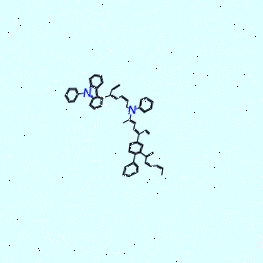 C=C/C(=C\C=C(/C)N(C/C=C\C=C(/C=C)c1cccc2c1c1ccccc1n2-c1ccccc1)c1ccccc1)c1ccc(-c2ccccc2)c(C(=C)/C=C\C=C/C)c1